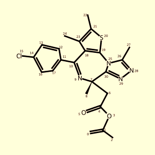 C=C(C)OC(=O)C[C@]1(C)N=C(c2ccc(Cl)cc2)c2c(sc(C)c2C)-n2c(C)nnc21